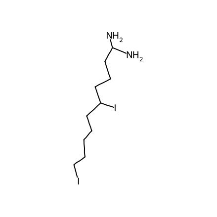 NC(N)CCCC(I)CCCCCI